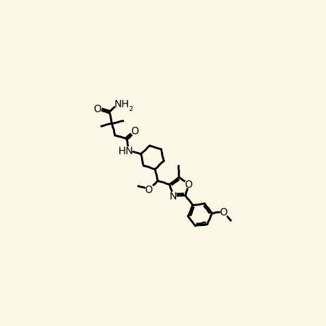 COc1cccc(-c2nc(C(OC)C3CCCC(NC(=O)CC(C)(C)C(N)=O)C3)c(C)o2)c1